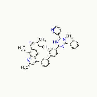 C=Cc1c(/C=C\C(C)C=C)ccc2c(-c3cccc(-c4ccc(C5N=C(c6ccccc6)N(C)C(c6cccnc6)N5)cc4)c3)cc(C)nc12